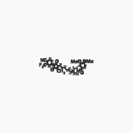 COc1ccc(C(=O)N2CCN(CCCCCCC3=C(C)C(=O)N(c4ccc(C#N)c(C(F)(F)F)c4)C3=O)CC2)cc1OC